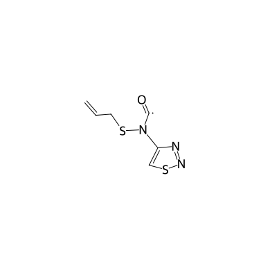 C=CCSN([C]=O)c1csnn1